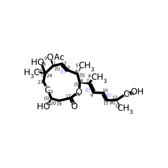 CC(=O)O[C@H]1/C=C/[C@H](C)[C@@H](/C(C)=C/C=C/[C@@H](C)CO)OC(=O)C[C@@H](O)CC[C@]1(C)O